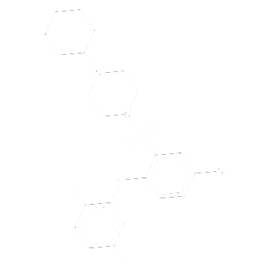 Cc1ccc(C)c(Oc2ccc(N=O)cc2S(=O)(=O)N2CCN(C3CCCCC3)CC2)c1